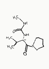 CNC(=O)N[C@H](C(=O)N1CCCC1)C(C)C